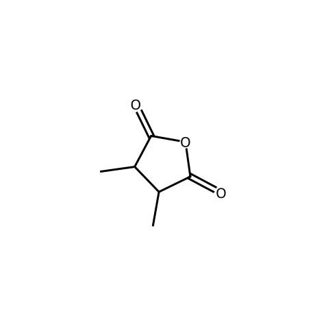 CC1C(=O)OC(=O)C1C